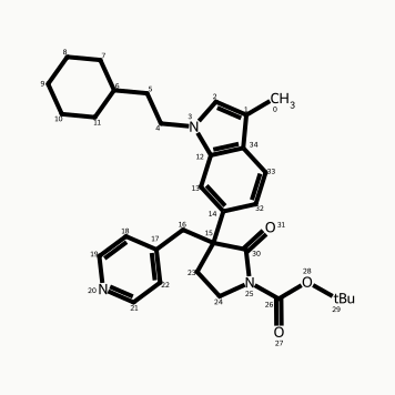 Cc1cn(CCC2CCCCC2)c2cc(C3(Cc4ccncc4)CCN(C(=O)OC(C)(C)C)C3=O)ccc12